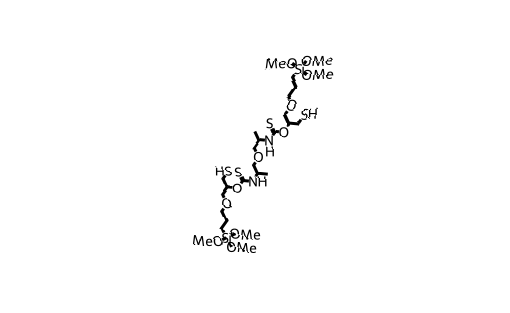 CO[Si](CCCOCC(CS)OC(=S)NC(C)COCC(C)NC(=S)OC(CS)COCCC[Si](OC)(OC)OC)(OC)OC